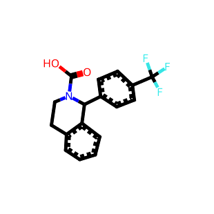 O=C(O)N1CCc2ccccc2C1c1ccc(C(F)(F)F)cc1